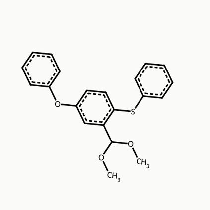 COC(OC)c1cc(Oc2ccccc2)ccc1Sc1ccccc1